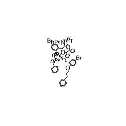 CCCN(CCC)C(Cc1cc(Br)ccc1OCCCc1ccccc1)OC(=O)C(=O)OC(Cc1cc(Br)ccc1OCCCc1ccccc1)N(CCC)CCC